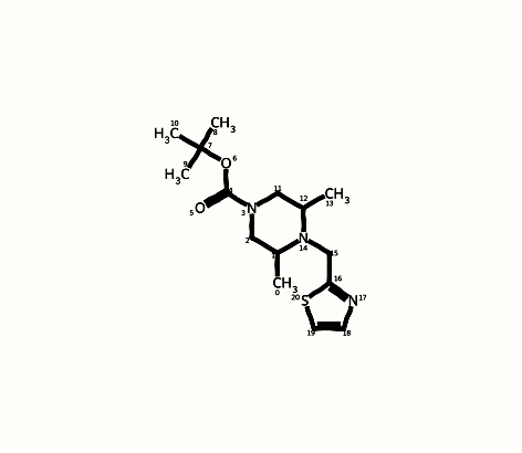 CC1CN(C(=O)OC(C)(C)C)CC(C)N1Cc1nccs1